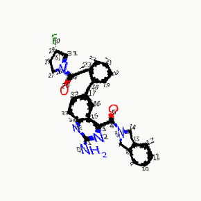 Nc1nc(C(=O)N2Cc3ccccc3C2)c2cc(-c3ccccc3C(=O)N3CC[C@H](F)C3)ccc2n1